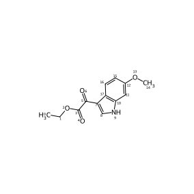 CCOC(=O)C(=O)c1c[nH]c2cc(OC)ccc12